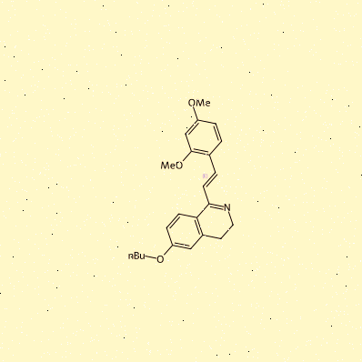 CCCCOc1ccc2c(c1)CCN=C2/C=C/c1ccc(OC)cc1OC